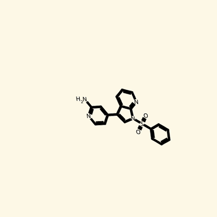 Nc1cc(-c2cn(S(=O)(=O)c3ccccc3)c3ncccc23)ccn1